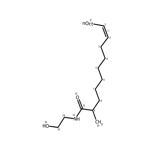 CCCCCCCC/C=C\CCCCCCC(C)C(=O)NCCO